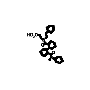 CN(C(=O)c1ccccc1-c1ccccc1C(=O)N(CCC(=O)O)CCc1ccccc1)c1cccnc1